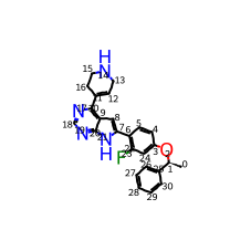 C[C@H](Oc1ccc(-c2cc3c(C4=CCNCC4)ncnc3[nH]2)c(F)c1)c1ccccc1